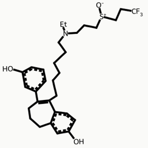 CCN(CCCCCCC1=C(c2cccc(O)c2)CCCc2cc(O)ccc21)CCC[S+]([O-])CCC(F)(F)F